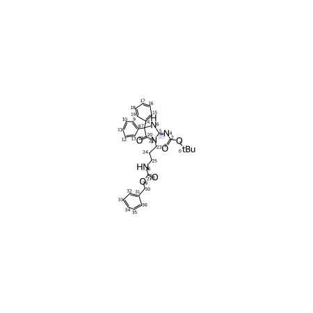 CC(C)(C)OC(=O)/N=C1/NC(c2ccccc2)(c2ccccc2)C(=O)N1CCCNC(=O)OCc1ccccc1